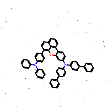 c1ccc(-c2ccc(N(c3ccc(-c4ccccc4)cc3)c3ccc4c(c3)Oc3c(-c5ccc(N(c6ccccc6)c6ccccc6)cc5)ccc5cccc-4c35)cc2)cc1